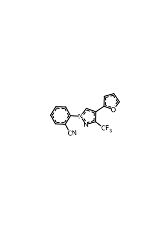 N#Cc1ccccc1-n1cc(-c2ccco2)c(C(F)(F)F)n1